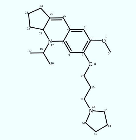 COc1cc2c(cc1OCCCN1CCCC1)N(C(C)C)C1CCCC1=C2